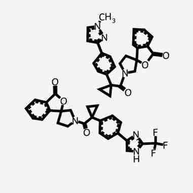 Cn1ccc(-c2ccc(C3(C(=O)N4CCC5(C4)OC(=O)c4ccccc45)CC3)cc2)n1.O=C1OC2(CCN(C(=O)C3(c4ccc(-c5c[nH]c(C(F)(F)F)n5)cc4)CC3)C2)c2ccccc21